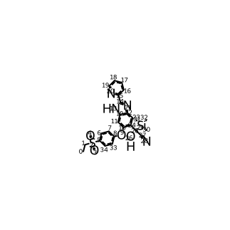 CCS(=O)(=O)c1ccc(Oc2cc3[nH]c(-c4ccccn4)nc3cc2C(O)(C#N)[Si](C)(C)C)cc1